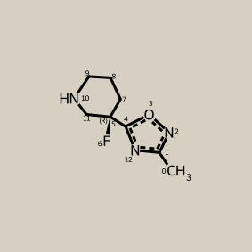 Cc1noc([C@@]2(F)CCCNC2)n1